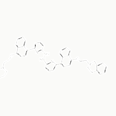 c1cc(NNc2cccc(-c3ccc(OCCN4CCc5ccccc5C4)c4ccccc34)n2)nc(-c2ccc(OCCN3CCCCC3)c3ccccc23)c1